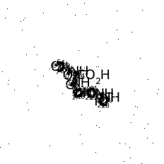 O=C(CN1CCOCC1)N[C@@H](CNC(=O)c1cccc(N2CCC(NC3=NCCCN3)CC2)c1)C(=O)O